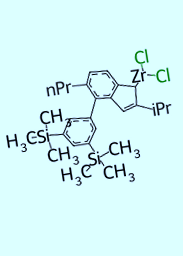 CCCc1ccc2c(c1-c1cc([Si](C)(C)C)cc([Si](C)(C)C)c1)C=C(C(C)C)[CH]2[Zr]([Cl])[Cl]